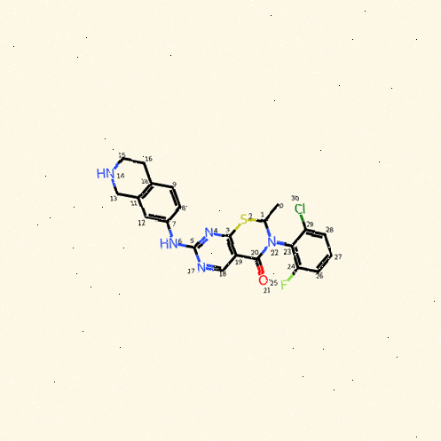 CC1Sc2nc(Nc3ccc4c(c3)CNCC4)ncc2C(=O)N1c1c(F)cccc1Cl